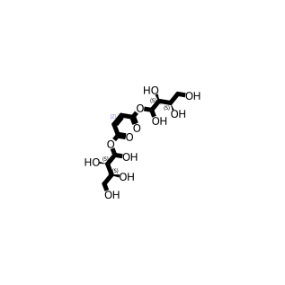 O=C(/C=C\C(=O)OC(O)[C@@H](O)[C@@H](O)CO)OC(O)[C@@H](O)[C@@H](O)CO